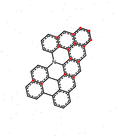 c1ccc(-c2cccc3cccc(-c4ccccc4N(c4ccccc4-c4cccc5ccccc45)c4ccccc4-c4cccc5ccccc45)c23)cc1